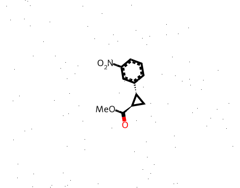 COC(=O)[C@@H]1C[C@H]1c1cccc([N+](=O)[O-])c1